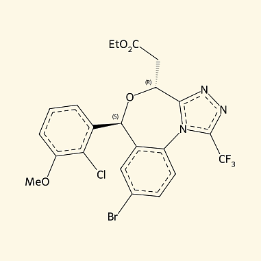 CCOC(=O)C[C@H]1O[C@H](c2cccc(OC)c2Cl)c2cc(Br)ccc2-n2c1nnc2C(F)(F)F